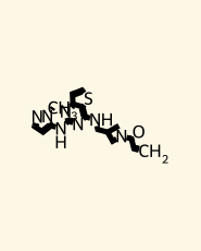 C=CC(=O)N1CC(CNc2nc(Nc3ccnn3C)nc3ccsc23)C1